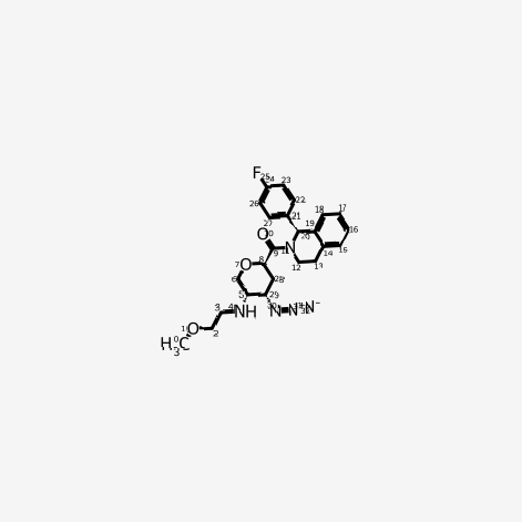 COCCN[C@@H]1CO[C@@H](C(=O)N2CCc3ccccc3[C@@H]2c2ccc(F)cc2)C[C@@H]1N=[N+]=[N-]